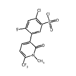 Cn1c(C(F)(F)F)ccc(-c2cc(S(=O)(=O)Cl)c(Cl)cc2F)c1=O